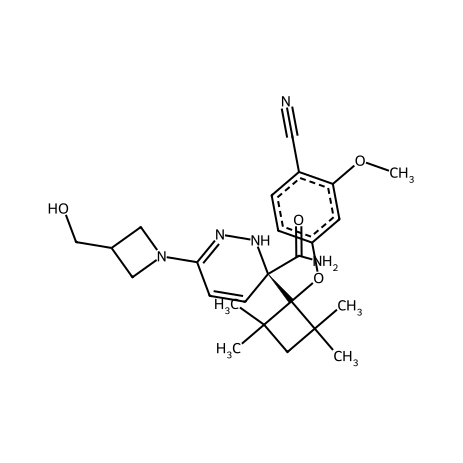 COc1cc(OC2([C@@]3(C(N)=O)C=CC(N4CC(CO)C4)=NN3)C(C)(C)CC2(C)C)ccc1C#N